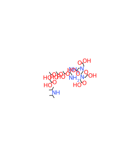 CC(=O)O.CC(=O)O.CC(=O)O.CC(=O)O.CC(C)NC(C)C.NCCN.O=C(O)CN(CCN(CC(=O)O)CC(=O)O)CC(=O)O